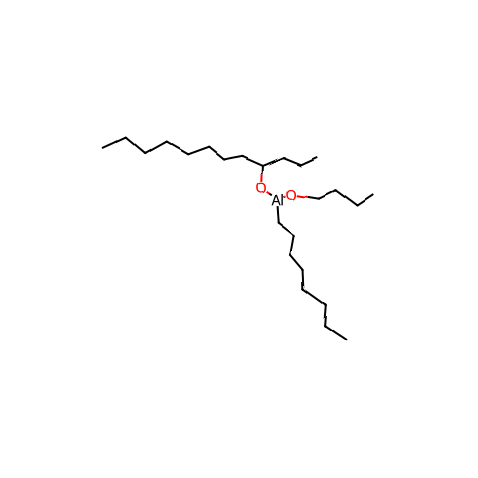 CCCCCCCCC(CCC)[O][Al]([CH2]CCCCCCC)[O]CCCC